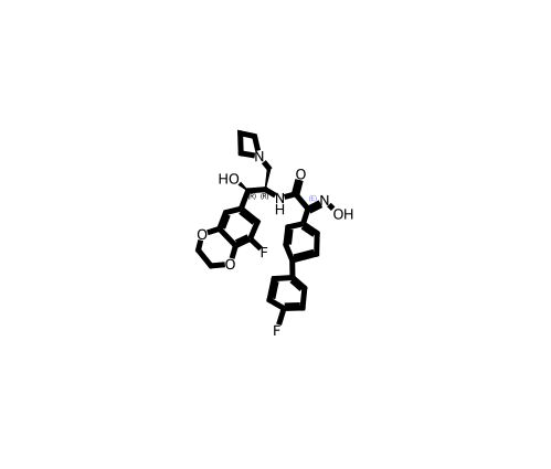 O=C(N[C@H](CN1CCC1)[C@H](O)c1cc(F)c2c(c1)OCCO2)/C(=N/O)c1ccc(-c2ccc(F)cc2)cc1